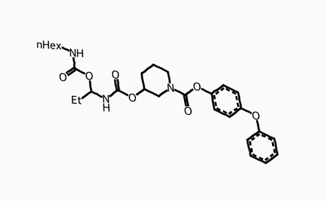 CCCCCCNC(=O)OC(CC)NC(=O)OC1CCCN(C(=O)Oc2ccc(Oc3ccccc3)cc2)C1